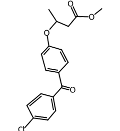 COC(=O)CC(C)Oc1ccc(C(=O)c2ccc(Cl)cc2)cc1